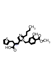 CCCCc1ncc(/C=C(\Cc2cccs2)C(=O)O)n1Cc1ccc(C(=O)OC)c(O)c1